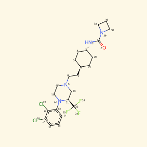 O=C(N[C@H]1CC[C@H](CCN2CCN(c3cccc(Cl)c3Cl)[C@H](C(F)(F)F)C2)CC1)N1CCC1